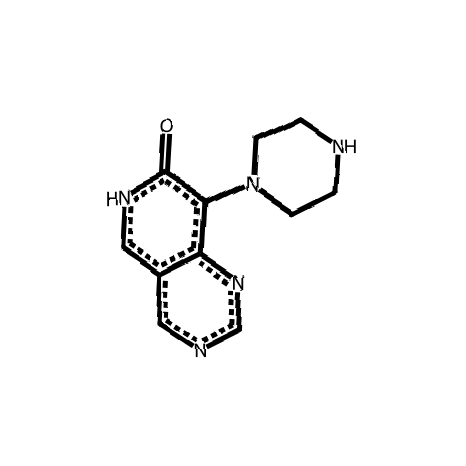 O=c1[nH]cc2cncnc2c1N1CCNCC1